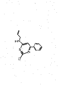 C=CCNc1cc(-c2ccccc2)nc(Cl)n1